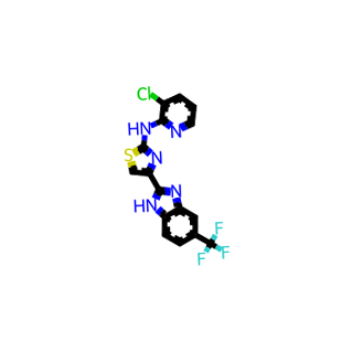 FC(F)(F)c1ccc2[nH]c(-c3csc(Nc4ncccc4Cl)n3)nc2c1